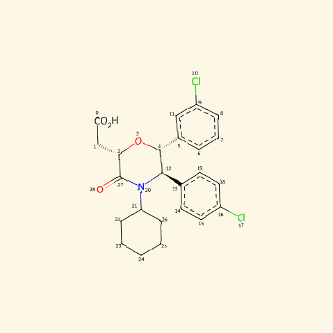 O=C(O)C[C@@H]1O[C@H](c2cccc(Cl)c2)[C@@H](c2ccc(Cl)cc2)N(C2CCCCC2)C1=O